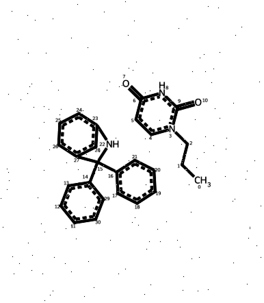 CCCn1ccc(=O)[nH]c1=O.c1ccc(C2(c3ccccc3)Nc3cccc2c3)cc1